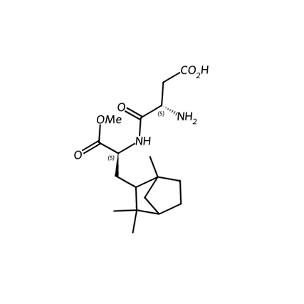 COC(=O)[C@H](CC1C2(C)CCC(C2)C1(C)C)NC(=O)[C@@H](N)CC(=O)O